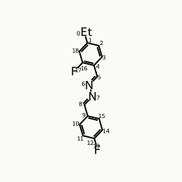 CCc1ccc(C=NN=Cc2ccc(F)cc2)c(F)c1